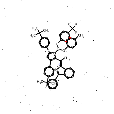 C/C(=C1/N=C(c2ccccc2)c2ccccc21)c1c(-c2ccc(C(C)(C)C)cc2)cc(-c2ccc(C(C)(C)C)cc2)n1B(Oc1ccc(C)cc1)Oc1ccc(C(F)(F)F)cc1